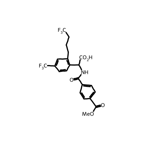 COC(=O)c1ccc(C(=O)NC(C(=O)O)c2ccc(C(F)(F)F)cc2CCCC(F)(F)F)cc1